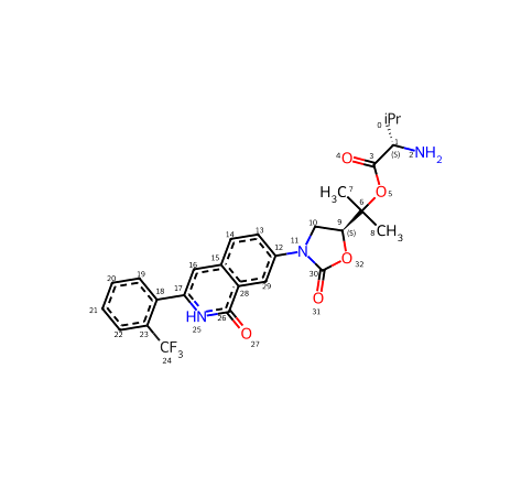 CC(C)[C@H](N)C(=O)OC(C)(C)[C@@H]1CN(c2ccc3cc(-c4ccccc4C(F)(F)F)[nH]c(=O)c3c2)C(=O)O1